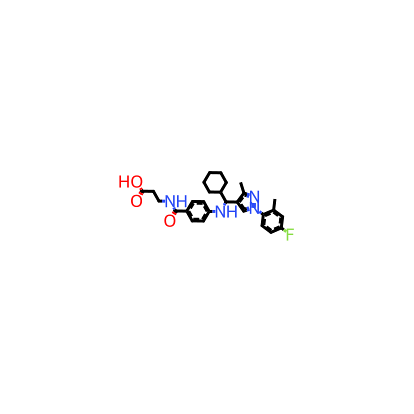 Cc1cc(F)ccc1-n1cc(C(Nc2ccc(C(=O)NCCC(=O)O)cc2)C2CCCCC2)c(C)n1